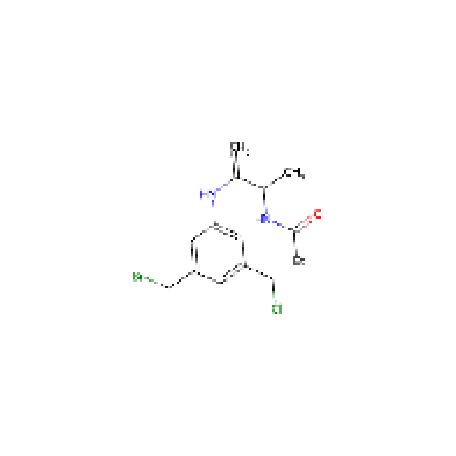 C=C(Nc1cc(CCl)cc(CBr)c1)C(C)NC(=O)CC